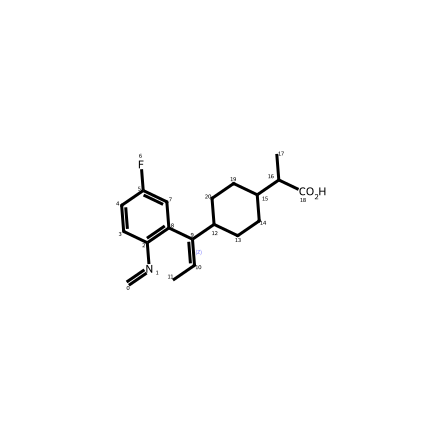 C=Nc1ccc(F)cc1/C(=C\C)C1CCC(C(C)C(=O)O)CC1